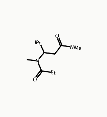 CCC(=O)N(C)C(CC(=O)NC)C(C)C